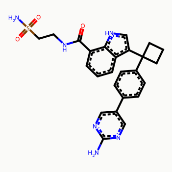 Nc1ncc(-c2ccc(C3(c4c[nH]c5c(C(=O)NCCS(N)(=O)=O)cccc45)CCC3)cc2)cn1